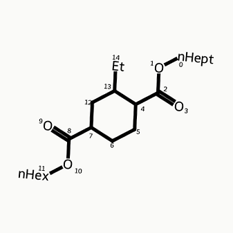 CCCCCCCOC(=O)C1CCC(C(=O)OCCCCCC)CC1CC